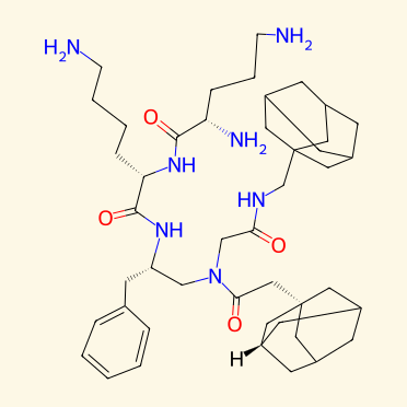 NCCCC[C@H](NC(=O)[C@@H](N)CCCN)C(=O)N[C@@H](Cc1ccccc1)CN(CC(=O)NCC12CC3CC(CC(C3)C1)C2)C(=O)C[C@]12CC3CC(C[C@H](C3)C1)C2